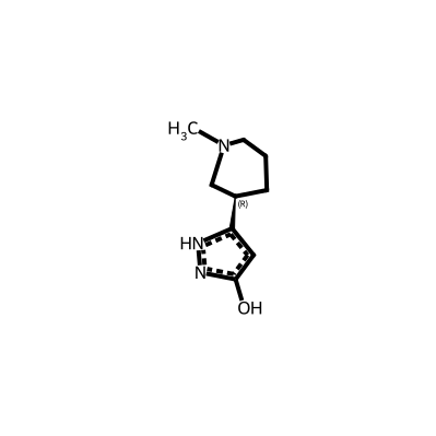 CN1CCC[C@@H](c2cc(O)n[nH]2)C1